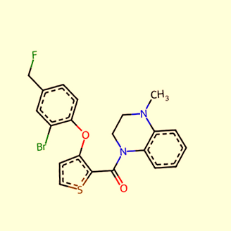 CN1CCN(C(=O)c2sccc2Oc2ccc(CF)cc2Br)c2ccccc21